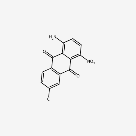 Nc1ccc([N+](=O)[O-])c2c1C(=O)c1ccc(Cl)cc1C2=O